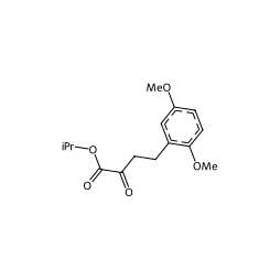 COc1ccc(OC)c(CCC(=O)C(=O)OC(C)C)c1